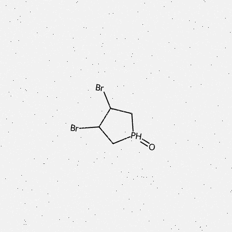 O=[PH]1CC(Br)C(Br)C1